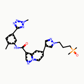 Cc1ccc(-c2nnn(C)n2)cc1NC(=O)c1cnn2ccc(-c3cnn(CCCP(C)(C)=O)c3)cc12